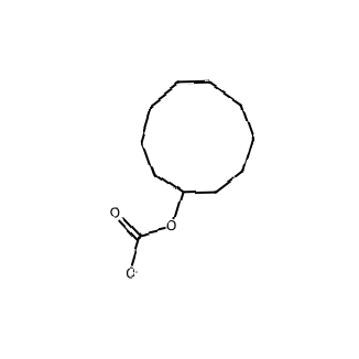 [O]C(=O)OC1CCCCCCCCC1